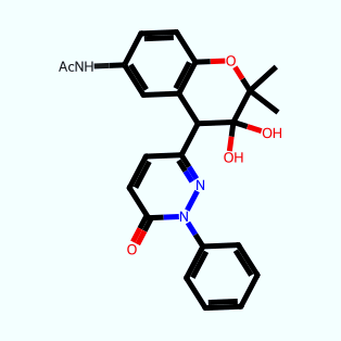 CC(=O)Nc1ccc2c(c1)C(c1ccc(=O)n(-c3ccccc3)n1)C(O)(O)C(C)(C)O2